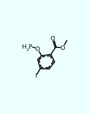 COC(=O)c1ccc(I)cc1OP